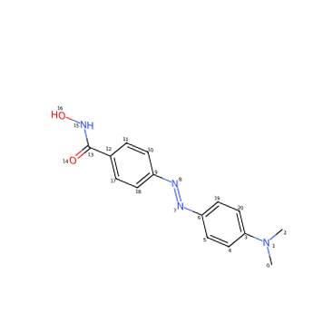 CN(C)c1ccc(N=Nc2ccc(C(=O)NO)cc2)cc1